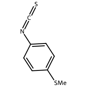 CSc1ccc(N=C=S)cc1